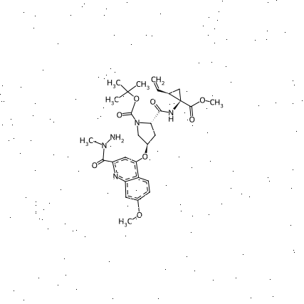 C=C[C@H]1C[C@]1(NC(=O)[C@@H]1C[C@@H](Oc2cc(C(=O)N(C)N)nc3cc(OC)ccc23)CN1C(=O)OC(C)(C)C)C(=O)OC